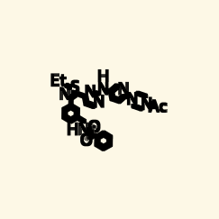 CCc1nc(-c2cccc(CNS(=O)(=O)c3ccccc3)c2)c(-c2ccnc(Nc3ccc(N4CCN(C(C)=O)CC4)nc3)n2)s1